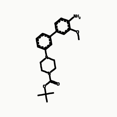 COc1cc(-c2cccc(N3CCN(C(=O)OC(C)(C)C)CC3)c2)ccc1N